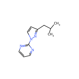 CC(C)Cc1ccn(-c2ncccn2)n1